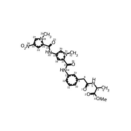 COC(=O)C(C)NC(=O)Cc1cccc(NC(=O)c2cc(NC(=O)c3cc([N+](=O)[O-])cn3C)cn2C)c1